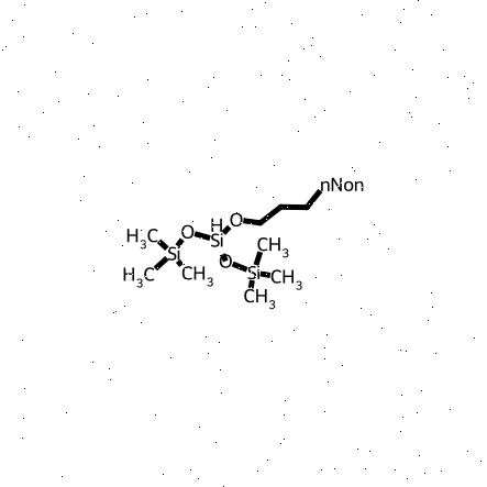 CCCCCCCCCCCCO[SiH](O[Si](C)(C)C)O[Si](C)(C)C